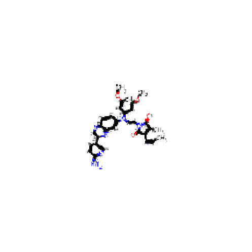 C/C=C\C1=C(C)C(=O)N(CCN(C(/C=C(\C)OC)=C/COC)c2ccc3ncc(-c4ccc(N)nc4)nc3c2)C1=O